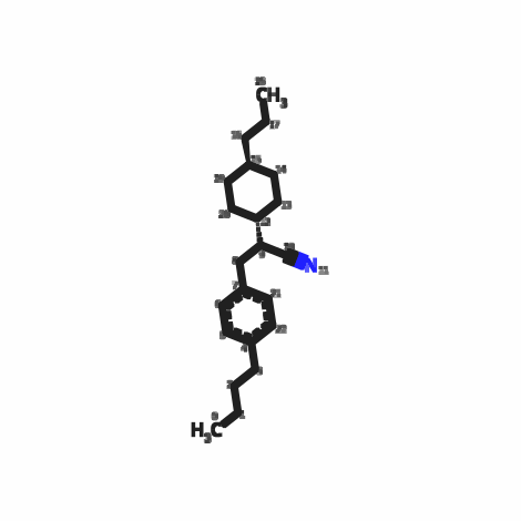 CCCCc1ccc(CC(C#N)[C@H]2CC[C@H](CCC)CC2)cc1